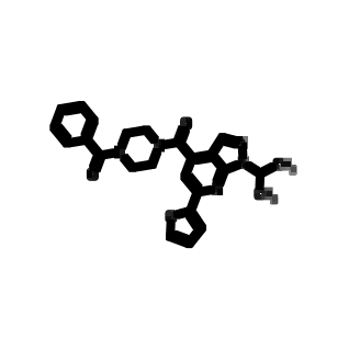 CC(C)n1ncc2c(C(=O)N3CCN(C(=O)c4ccccc4)CC3)cc(-c3ccco3)nc21